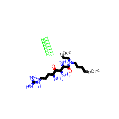 CCCCCCCCCCCCCCN(CCCCCCCCCCCC)C(=O)C(N)C(N)C(=O)C(N)CCCNC(=N)N.Cl.Cl.Cl.Cl.Cl.Cl